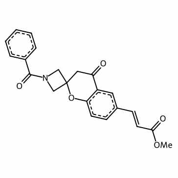 COC(=O)C=Cc1ccc2c(c1)C(=O)CC1(CN(C(=O)c3ccccc3)C1)O2